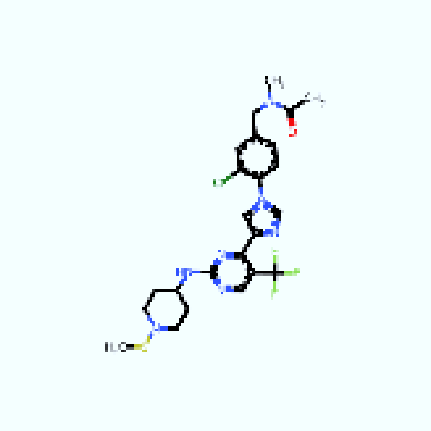 CSN1CCC(Nc2ncc(C(F)(F)F)c(-c3cn(-c4ccc(CN(C)C(C)=O)cc4Cl)cn3)n2)CC1